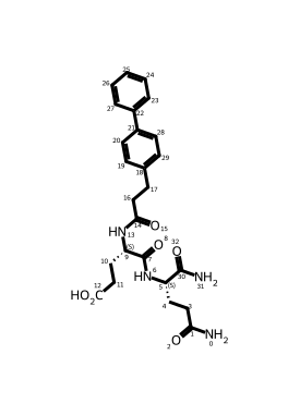 NC(=O)CC[C@H](NC(=O)[C@H](CCC(=O)O)NC(=O)CCc1ccc(-c2ccccc2)cc1)C(N)=O